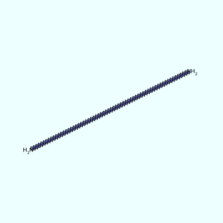 N/N=N/N=N/N=N/N=N/N=N/N=N/N=N/N=N/N=N/N=N/N=N/N=N/N=N/N=N/N=N/N=N/N=N/N=N/N=N/N=N/N=N/N=N/N=N/N=N/N=N/N=N/N=N/N=N/N=N/N=N/N=N/N=N/N=N/N=N/N=N/N=N/N=N/N=N/N=N/N=N/N=N/N=N/N=N/N=N/N=N/N=N/N=N/N=N/N=N/N=N/N=N/N=N/N=N/N=N/N=N/N=N/N=N/N=N/N=N/N=N/N=N/N=N/N=N/N